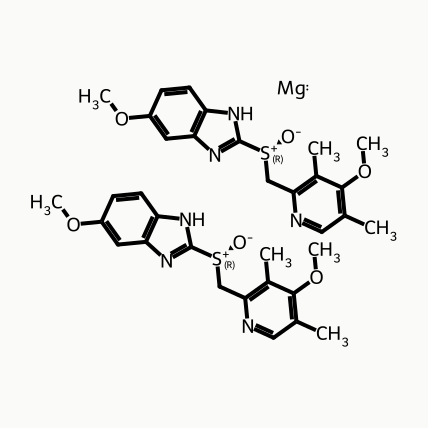 COc1ccc2[nH]c([S@@+]([O-])Cc3ncc(C)c(OC)c3C)nc2c1.COc1ccc2[nH]c([S@@+]([O-])Cc3ncc(C)c(OC)c3C)nc2c1.[Mg]